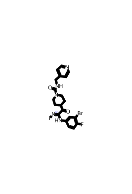 O=C(/C(=N/I)Nc1ccc(F)c(Br)c1)C1CCN(C(=O)NCc2ccncc2)CC1